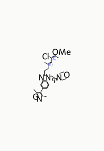 CO/C(C)=C(Cl)/C=C(\C)CCc1nc2cc(-c3c(C)noc3C)ccc2n1C[C@H](C)N1CCOCC1